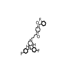 O=C(CCCN1CC[C@@H]2[C@@H](C1)c1cc(F)ccc1N2c1ccc(F)cc1)N1CCN(C(=O)c2ccccc2F)CC1